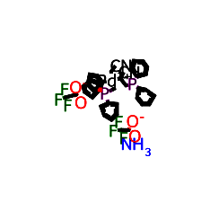 N.N#C[CH2][Pd+2]([CH2]P(c1ccccc1)c1ccccc1)([c]1ccccc1)[CH](C#N)CP(c1ccccc1)c1ccccc1.O=C([O-])C(F)(F)F.O=C([O-])C(F)(F)F